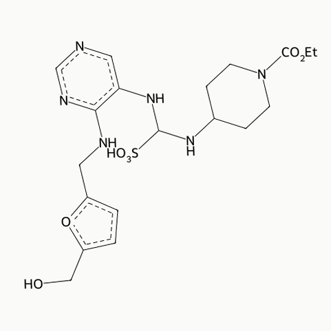 CCOC(=O)N1CCC(NC(Nc2cncnc2NCc2ccc(CO)o2)S(=O)(=O)O)CC1